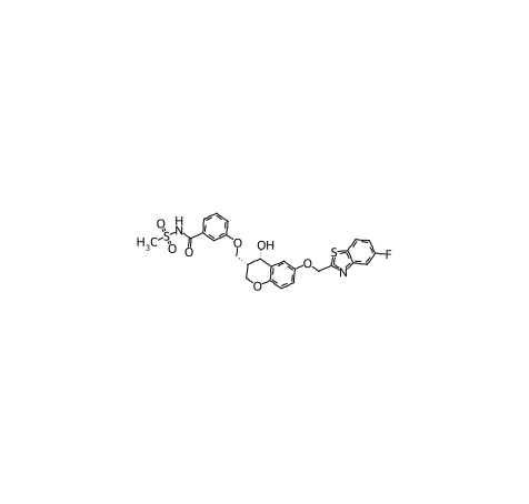 CS(=O)(=O)NC(=O)c1cccc(OC[C@H]2COc3ccc(OCc4nc5cc(F)ccc5s4)cc3[C@H]2O)c1